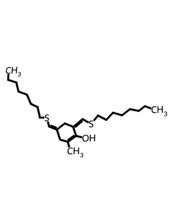 CCCCCCCCSC=C1CC(=CSCCCCCCCC)C(O)=C(C)C1